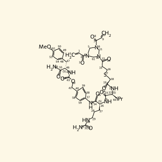 C=CC(=O)N1CN(C(=O)C=C)CN(C(=O)CCSCC(=O)N[C@H](C(=O)N[C@@H](CCCNC(N)=O)C(=O)Nc2ccc(COC(=O)N[C@@H](Cc3ccc(OC)cc3)C(N)=O)cc2)C(C)C)C1